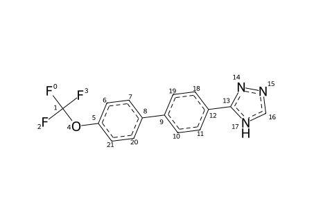 FC(F)(F)Oc1ccc(-c2ccc(-c3nnc[nH]3)cc2)cc1